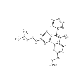 COCOc1ccc(C(=C(c2ccccc2)c2ccc(OCCN(C)C)cc2)C(F)(F)F)cc1